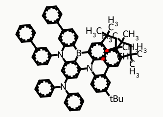 CC(C)(C)c1ccc(N2c3cc4c(cc3B3c5ccc(-c6ccccc6)cc5N(c5cccc(-c6ccccc6)c5)c5cc(N(c6ccccc6)c6ccccc6)cc2c53)C(C)(C)CC4(C)C)c(-c2ccc3c(c2)C(C)(C)CC3(C)C)c1